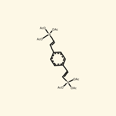 CC(=O)O[Si](C=Cc1ccc(C=C[Si](OC(C)=O)(OC(C)=O)OC(C)=O)cc1)(OC(C)=O)OC(C)=O